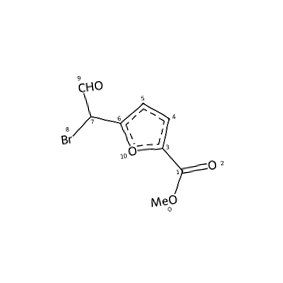 COC(=O)c1ccc(C(Br)C=O)o1